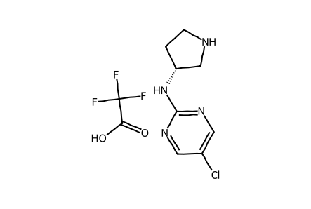 Clc1cnc(N[C@@H]2CCNC2)nc1.O=C(O)C(F)(F)F